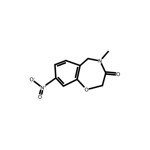 CN1Cc2ccc([N+](=O)[O-])cc2OCC1=O